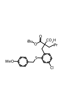 CCC(C)OC(=O)C(Cc1ccc(Cl)cc1SCc1ccc(OC)cc1)(CC(C)C)C(=O)O